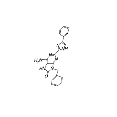 Nc1nc(-c2nc(-c3ccccc3)c[nH]2)nc2c1[nH]c(=O)n2Cc1ccccc1